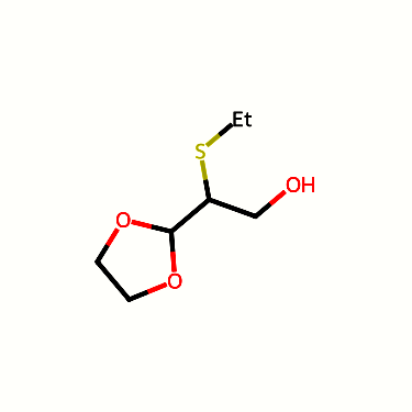 CCSC(CO)C1OCCO1